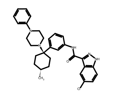 C[C@H]1CC[C@](c2cccc(NC(=O)c3n[nH]c4ccc(Cl)cc34)c2)(N2CCN(c3ccccc3)CC2)CC1